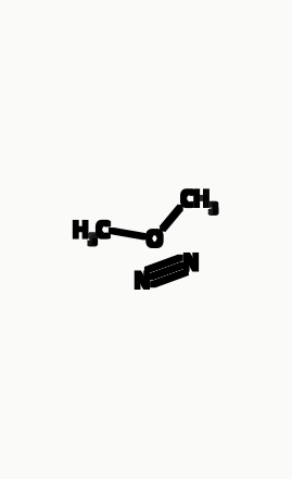 COC.N#N